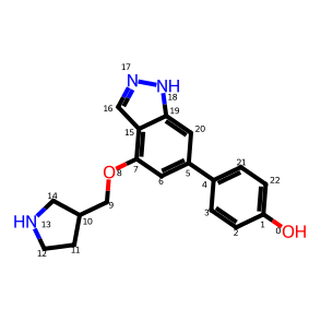 Oc1ccc(-c2cc(OCC3CCNC3)c3cn[nH]c3c2)cc1